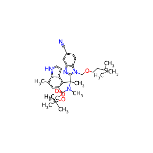 COc1cc(C)c2[nH]ccc2c1C(C)(c1nc2cc(C#N)ccc2n1COCC[Si](C)(C)C)N(C)C(=O)OC(C)(C)C